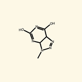 CN1N=NC2C(O)=NC(O)=NC21